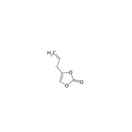 C=C[CH]c1coc(=O)o1